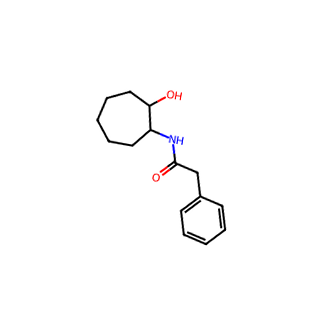 O=C(Cc1ccccc1)NC1CCCCCC1O